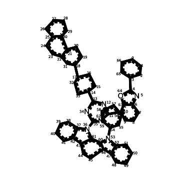 c1ccc(-c2nc3cccc(-c4nc(-c5ccc(-c6ccc7c(ccc8ccccc87)c6)cc5)nc(-n5c6ccccc6c6ccc7c8ccccc8n(-c8ccccc8)c7c65)n4)c3o2)cc1